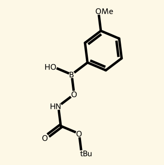 COc1cccc(B(O)ONC(=O)OC(C)(C)C)c1